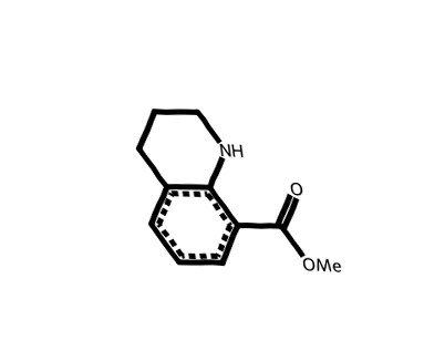 COC(=O)c1cccc2c1NCCC2